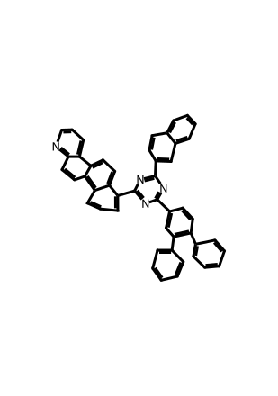 c1ccc(-c2ccc(-c3nc(-c4ccc5ccccc5c4)nc(-c4cccc5c4ccc4c6cccnc6ccc54)n3)cc2-c2ccccc2)cc1